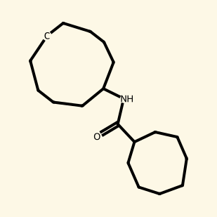 O=C(NC1CCCCCCCCC1)C1CCCCCCC1